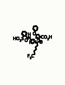 O=C(Nc1cn(C(CCCCCC(F)(F)F)C(=O)N2CC(Oc3ccccc3)C[C@H]2C(=O)O)cn1)c1ccccc1S(=O)(=O)O